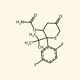 CC(C)(C)C1(c2cc(F)ccc2F)SCC(=O)CC1OC(N)=O